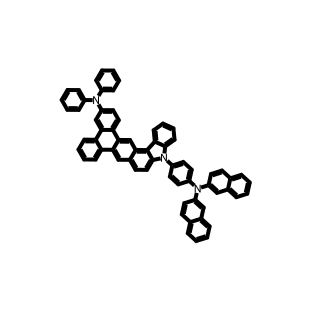 c1ccc(N(c2ccccc2)c2ccc3c(c2)c2ccccc2c2cc4ccc5c(c4cc32)c2ccccc2n5-c2ccc(N(c3ccc4ccccc4c3)c3ccc4ccccc4c3)cc2)cc1